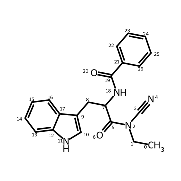 CCN(C#N)C(=O)C(Cc1c[nH]c2ccccc12)NC(=O)c1ccccc1